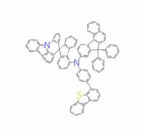 c1ccc(C2(c3ccccc3)c3cc(N(c4ccc(-c5cccc6c5sc5ccccc56)cc4)c4cccc5c4-c4ccccc4C54c5ccccc5-n5c6ccccc6c6cccc4c65)ccc3-c3c2ccc2ccccc32)cc1